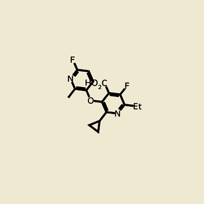 CCc1nc(C2CC2)c(Oc2ccc(F)nc2C)c(C(=O)O)c1F